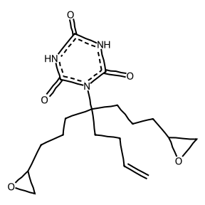 C=CCCC(CCCC1CO1)(CCCC1CO1)n1c(=O)[nH]c(=O)[nH]c1=O